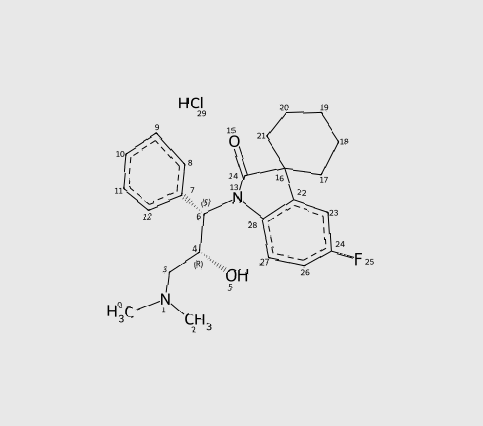 CN(C)C[C@@H](O)[C@H](c1ccccc1)N1C(=O)C2(CCCCC2)c2cc(F)ccc21.Cl